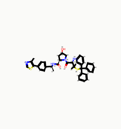 Cc1ncsc1-c1ccc([C@H](C)NC(=O)[C@H]2C[C@@H](O)CN2C(=O)[C@@H](N)C(C)(C)SC(c2ccccc2)(c2ccccc2)c2ccccc2)cc1